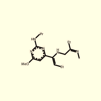 CC/C=C(\NC/C(CC)=N\C)c1cc(OC)nc(NC(C)C)n1